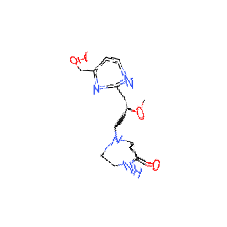 CO[C@@H](CN1CCNC(=O)C1)c1nccc(CO)n1